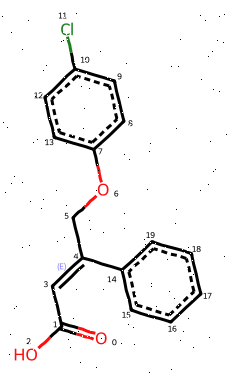 O=C(O)/C=C(/COc1ccc(Cl)cc1)c1ccccc1